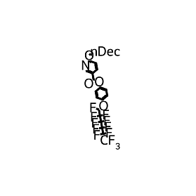 CCCCCCCCCCOc1ccc(C(=O)Oc2ccc(OC(F)C(F)(F)C(F)(F)C(F)(F)C(F)(F)C(F)(F)F)cc2)cn1